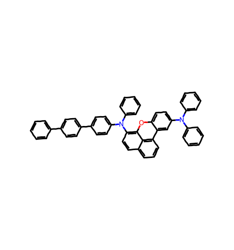 c1ccc(-c2ccc(-c3ccc(N(c4ccccc4)c4ccc5cccc6c5c4Oc4ccc(N(c5ccccc5)c5ccccc5)cc4-6)cc3)cc2)cc1